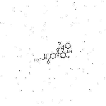 O=C(NCCO)c1ccc(Nc2ncc(F)c(Nc3ccccc3NC(=O)C3CC3)n2)cc1